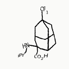 CC(C)NC1(C(=O)O)C2CC3CC1CC(C(F)(F)F)(C3)C2